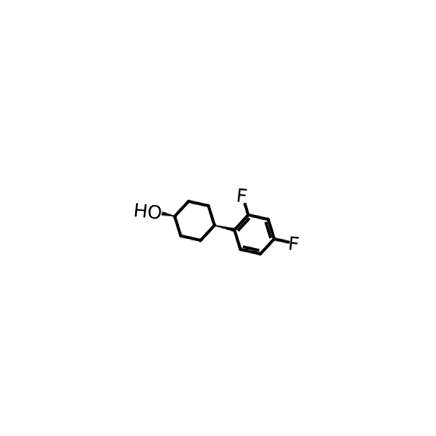 O[C@H]1CC[C@@H](c2ccc(F)cc2F)CC1